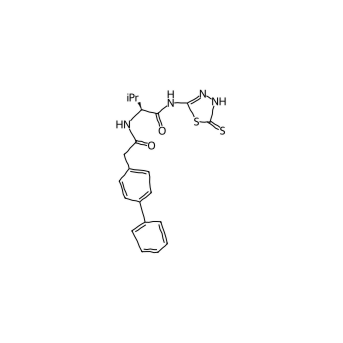 CC(C)[C@H](NC(=O)Cc1ccc(-c2ccccc2)cc1)C(=O)Nc1n[nH]c(=S)s1